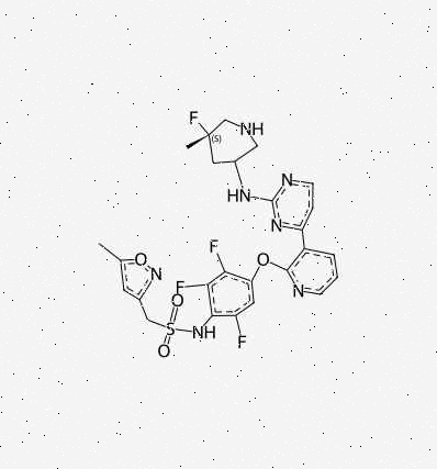 Cc1cc(CS(=O)(=O)Nc2c(F)cc(Oc3ncccc3-c3ccnc(NC4CNC[C@@](C)(F)C4)n3)c(F)c2F)no1